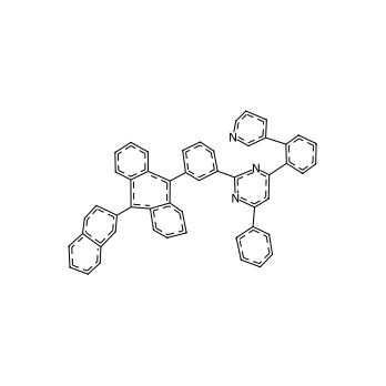 c1ccc(-c2cc(-c3ccccc3-c3cccnc3)nc(-c3cccc(-c4c5ccccc5c(-c5ccc6ccccc6c5)c5ccccc45)c3)n2)cc1